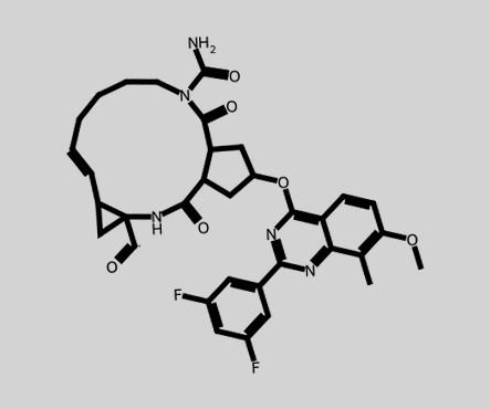 COc1ccc2c(OC3CC4C(=O)NC5([C]=O)CC5/C=C/CCCCN(C(N)=O)C(=O)C4C3)nc(-c3cc(F)cc(F)c3)nc2c1C